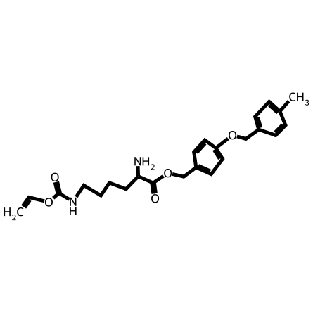 C=COC(=O)NCCCCC(N)C(=O)OCc1ccc(OCc2ccc(C)cc2)cc1